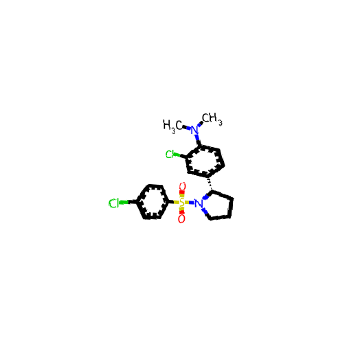 CN(C)c1ccc([C@@H]2CCCN2S(=O)(=O)c2ccc(Cl)cc2)cc1Cl